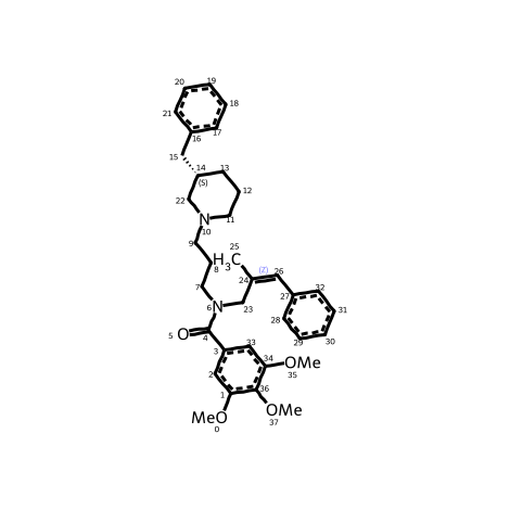 COc1cc(C(=O)N(CCCN2CCC[C@@H](Cc3ccccc3)C2)C/C(C)=C\c2ccccc2)cc(OC)c1OC